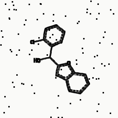 OC(c1cc2ccccc2o1)c1ccccc1Cl